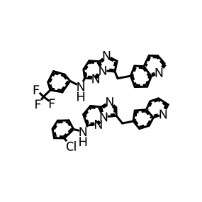 Clc1ccccc1Nc1ccc2ncc(Cc3ccc4ncccc4c3)n2n1.FC(F)(F)c1cccc(Nc2ccc3ncc(Cc4ccc5ncccc5c4)n3n2)c1